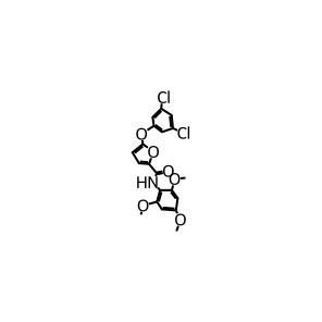 COc1cc(OC)c(NC(=O)c2ccc(Oc3cc(Cl)cc(Cl)c3)o2)c(OC)c1